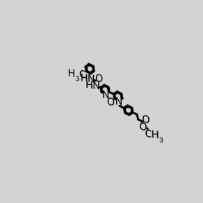 CCOC(=O)CCc1ccc(Cn2cccc(-c3ccc(NC(=O)Nc4ccccc4C)cn3)c2=O)cc1